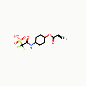 C=CC(=O)OC1CCC(NC(=O)C(F)(F)S(=O)(=O)O)CC1